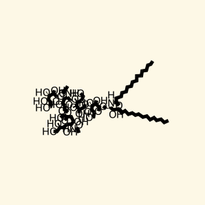 CCCCCCCCCCCCC/C=C/[C@@H](O)[C@H](CO[C@@H]1OC(CO)[C@@H](O[C@@H]2OC(CO)[C@H](O[C@@H]3OC(CO[C@]4(C(=O)O)CC(O)[C@@H](NC(C)=O)C([C@H](O)[C@H](O)CO)O4)[C@H](O)[C@H](O[C@@H]4OC(CO)[C@H](O)[C@H](O)C4O)C3NC(C)=O)[C@H](O)C2O)[C@H](O)C1O)NC(=O)CCCCCCCCCCCCCCC